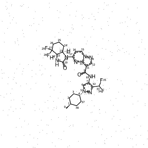 C[C@H]1CC[C@H](n2cc(NC(=O)c3cnn4ccc(N5C(=O)N[C@@H]6[C@H]5CCCC6(F)F)nc34)c(C(F)F)n2)CC1